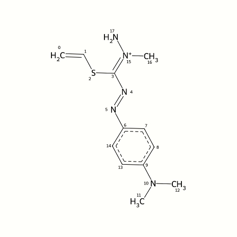 C=CS/C(N=Nc1ccc(N(C)C)cc1)=[N+](/C)N